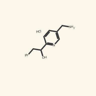 CC(C)CC(O)c1ccc(CN)cn1.Cl